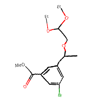 CCOC(COC(C)c1cc(Br)cc(C(=O)OC)c1)OCC